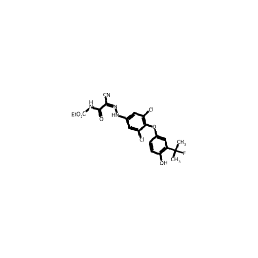 CCOC(=O)NC(=O)C(C#N)=NNc1cc(Cl)c(Oc2ccc(O)c(C(C)(C)F)c2)c(Cl)c1